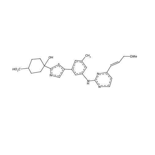 COCC=Cc1ccnc(Nc2cc(C)cc(-c3cnc(C4(O)CCC(C(=O)O)CC4)s3)c2)n1